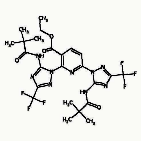 CCOC(=O)c1ccc(-n2nc(C(F)(F)F)nc2NC(=O)C(C)(C)C)nc1-n1nc(C(F)(F)F)nc1NC(=O)C(C)(C)C